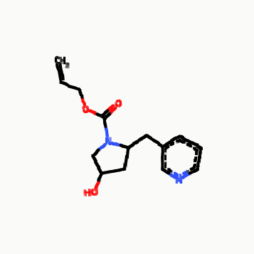 C=CCOC(=O)N1CC(O)CC1Cc1cccnc1